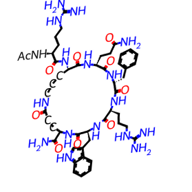 CC(=O)N[C@@H](CCCNC(=N)N)C(=O)N[C@H]1CCCNC(=O)CCC(C(N)=O)NC(=O)[C@H](Cc2c[nH]c3ccccc23)NC(=O)[C@H](CCCNC(=N)N)NC(=O)[C@@H](Cc2ccccc2)NC(=O)[C@H](CCC(N)=O)NC1=O